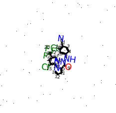 N#Cc1ccc(NNC(=O)c2cccn2-c2ncc(C(F)(F)F)cc2Cl)cc1Cl